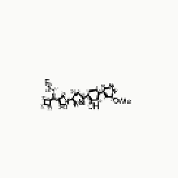 COc1cc(-c2ccc(-c3ccc(N4CC[C@H](N(CCF)C5CCC5)C4)nn3)c(O)c2)cnn1